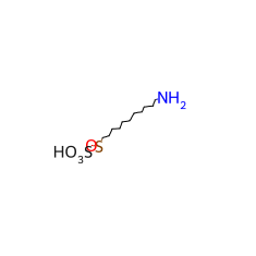 NCCCCCCCCCCCSOS(=O)(=O)O